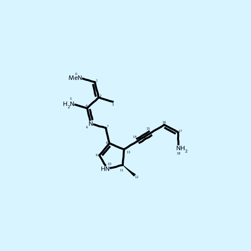 CN/C=C(C)\C(N)=N/CC1=CN[C@H](C)C1C#C/C=C\N